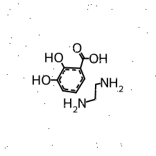 NCCN.O=C(O)c1cccc(O)c1O